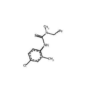 Cc1cc(Cl)ccc1NC(=S)N(C)CC(C)C